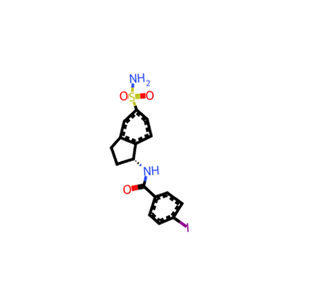 NS(=O)(=O)c1ccc2c(c1)CC[C@H]2NC(=O)c1ccc(I)cc1